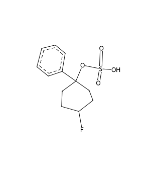 O=S(=O)(O)OC1(c2ccccc2)CCC(F)CC1